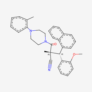 COc1ccccc1[C@@H](c1cccc2ccccc12)[C@](C)(C#N)C(=O)N1CCN(c2ccccc2C)CC1